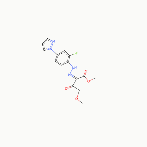 COCC(=O)/C(=N/Nc1ccc(-n2cccn2)cc1F)C(=O)OC